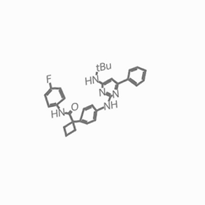 CC(C)(C)Nc1cc(-c2ccccc2)nc(Nc2ccc(C3(C(=O)Nc4ccc(F)cc4)CCC3)cc2)n1